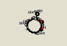 CO[C@H]1/C=C2/CC[C@@H](C)[C@@](O)(O2)C(=O)C(=O)N2CCCC[C@H]2C(=O)OC([C@H](C)C[C@@H]2CC[C@@H](O)[C@H](OC)C2)CC(=O)[C@H](C)/C=C(\C)[C@@H](O)[C@@H](OC)C(=O)[C@H](C)C[C@H](C)/C=C/C=C/C=C/1C